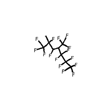 CC(F)(C(F)C(C(F)(F)F)C(F)(F)C(F)(F)C(F)(F)F)C(F)(F)F